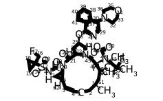 C[C@@H]1CCC=C[C@@H]2C[C@@]2(C(=O)NS(=O)(=O)C2(CF)CC2)NC(=O)[C@@H]2C[C@@H](Oc3ncc(N4CCOCC4)c4ccccc34)CN2C(=O)[C@@H](N(C(=O)O)C(C)(C)C(C)(F)F)[C@H](C)C1